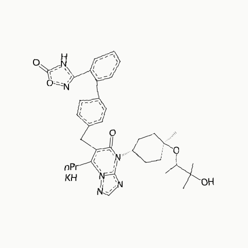 CCCc1c(Cc2ccc(-c3ccccc3-c3noc(=O)[nH]3)cc2)c(=O)n([C@H]2CC[C@](C)(OC(C)C(C)(C)O)CC2)c2ncnn12.[KH]